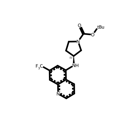 CC(C)(C)OC(=O)N1CC[C@H](Nc2cc(C(F)(F)F)cc3ncccc23)C1